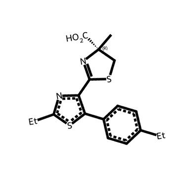 CCc1ccc(-c2sc(CC)nc2C2=N[C@](C)(C(=O)O)CS2)cc1